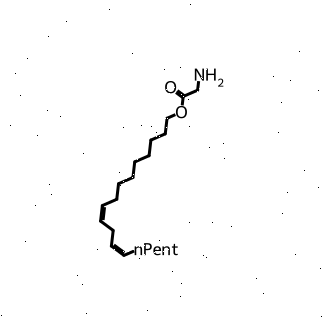 CCCCC/C=C\C/C=C\CCCCCCCCOC(=O)CN